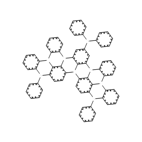 c1ccc(N(c2ccccc2)c2cc3c4c(c2)N2c5ccccc5B5c6ccccc6N(c6ccccc6)c6ccc(c2c65)B4c2ccc4c5c2N3c2ccccc2B5c2ccccc2N4c2ccccc2)cc1